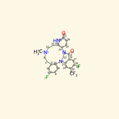 CN1CCc2cc(F)ccc2N2CN(C(=O)c3cc(F)c(C(F)(F)F)cc32)c2ccc(=O)[nH]c2CC1